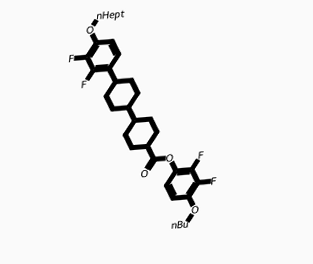 CCCCCCCOc1ccc(C2CCC(C3CCC(C(=O)Oc4ccc(OCCCC)c(F)c4F)CC3)CC2)c(F)c1F